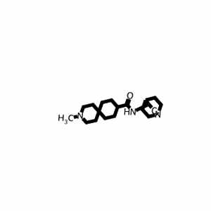 CN1CCC2(CCC(C(=O)NC3CN4CCC3CC4)CC2)CC1